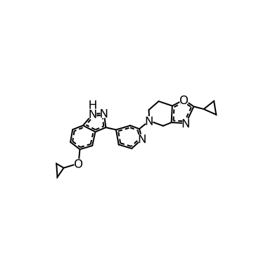 c1cc(-c2n[nH]c3ccc(OC4CC4)cc23)cc(N2CCc3oc(C4CC4)nc3C2)n1